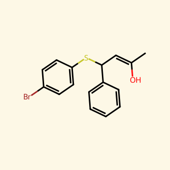 CC(O)=CC(Sc1ccc(Br)cc1)c1ccccc1